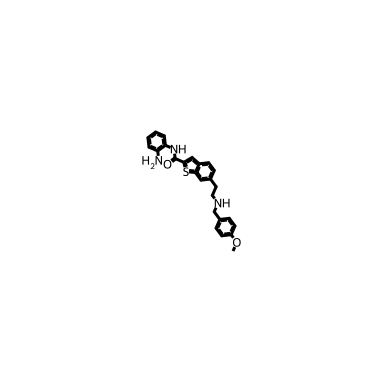 COc1ccc(CNCCc2ccc3cc(C(=O)Nc4ccccc4N)sc3c2)cc1